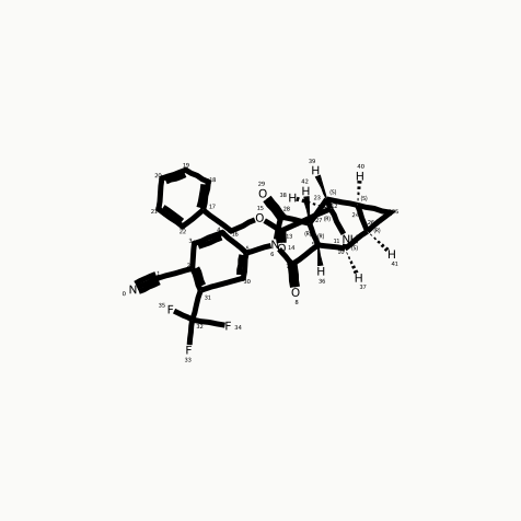 N#Cc1ccc(N2C(=O)[C@H]3[C@H]4N[C@@H](C(=O)OCc5ccccc5)[C@@H]([C@H]5C[C@H]54)[C@H]3C2=O)cc1C(F)(F)F